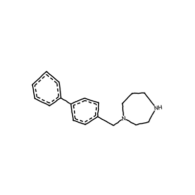 c1ccc(-c2ccc(CN3CCCNCC3)cc2)cc1